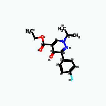 CCOC(=O)c1cn(C(C)C)nc(-c2ccc(F)cc2)c1=O